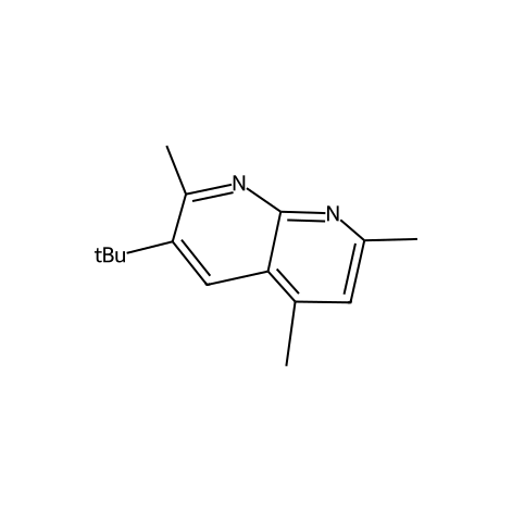 Cc1cc(C)c2cc(C(C)(C)C)c(C)nc2n1